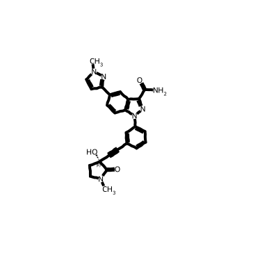 CN1CC[C@@](O)(C#Cc2cccc(-n3nc(C(N)=O)c4cc(-c5ccn(C)n5)ccc43)c2)C1=O